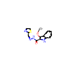 CC(C)Oc1c(C(=O)N/N=C\c2nccs2)[nH]c2ccccc12